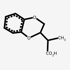 CC(C(=O)O)C1COc2ccccc2O1